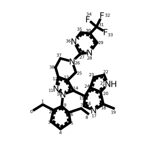 CCc1cccc(CC)c1-n1nc2c(c1-c1cnc(C)c3[nH]ccc13)CN(c1ncc(C(F)(F)F)cn1)CC2